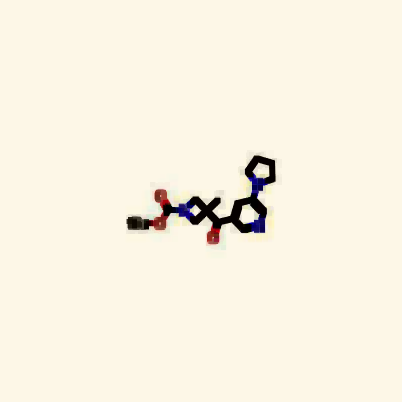 CC(C)(C)OC(=O)N1CC(C)(C(=O)c2cncc(N3CCCC3)c2)C1